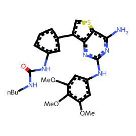 CCCCNC(=O)Nc1cccc(-c2csc3c(N)nc(Nc4cc(OC)c(OC)c(OC)c4)nc23)c1